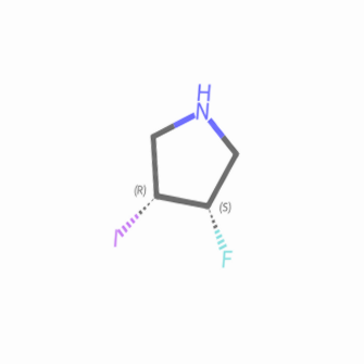 F[C@H]1CNC[C@H]1I